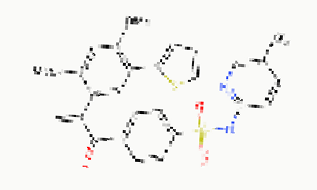 C=C(C(=O)c1ccc(S(=O)(=O)Nc2ccc(C(F)(F)F)cn2)cc1)c1cc(-c2cccs2)c(OC)cc1OC